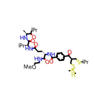 COCCNC(=O)[C@H](CCC(=O)N[C@H](C(=O)N[C@@H](C)C(=O)C(C)C)C(C)C)NC(=O)c1ccc(C(=O)C(CSC(C)C)CS[SH](C)C)cc1